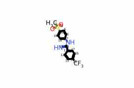 CS(=O)(=O)c1ccc(NC(=N)c2ccc(C(F)(F)F)cc2)cc1